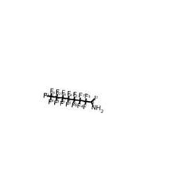 NC(I)C(F)(F)C(F)(F)C(F)(F)C(F)(F)C(F)(F)C(F)(F)C(F)(F)F